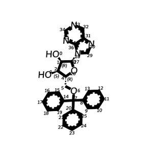 O[C@@H]1[C@H](O)[C@@H](COC(c2ccccc2)(c2ccccc2)c2ccccc2)O[C@H]1n1cnc2cncnc21